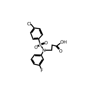 O=C(O)CCN(c1cccc(F)c1)S(=O)(=O)c1ccc(Cl)cc1